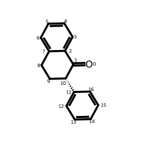 O=C1c2ccccc2CC[C@H]1c1ccccc1